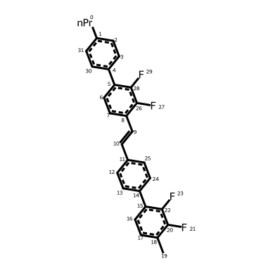 CCCc1ccc(-c2ccc(/C=C/c3ccc(-c4ccc(C)c(F)c4F)cc3)c(F)c2F)cc1